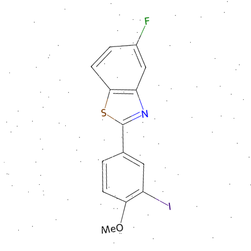 COc1ccc(-c2nc3cc(F)ccc3s2)cc1I